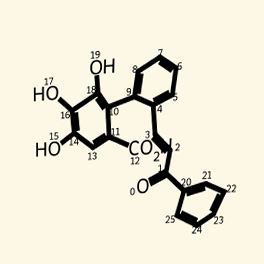 O=C(/C=C/c1ccccc1-c1c(C(=O)O)cc(O)c(O)c1O)c1ccccc1